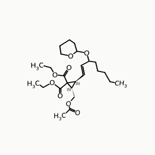 CCCCCC(C=C[C@H]1[C@H](COC(C)=O)C1(C(=O)OCC)C(=O)OCC)OC1CCCCO1